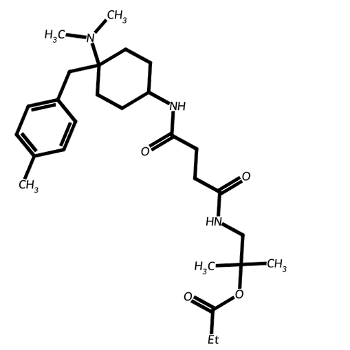 CCC(=O)OC(C)(C)CNC(=O)CCC(=O)NC1CCC(Cc2ccc(C)cc2)(N(C)C)CC1